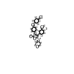 O=C1O[C@@H](CN2CCOCC2)[C@H](c2cccc(C(F)(F)F)c2)N1c1ccc(Oc2ccc(Cl)cc2)cc1